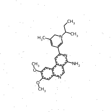 CCC(C)N1C=C(c2cc3c(cnc4cc(OC)c(OC)cc43)c(N)n2)C=C(C)C1